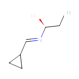 CC[C@H](O)/N=C/C1CC1